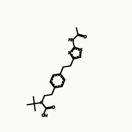 CC(=O)Nc1nc(CCc2ccc(CCN(C(=O)O)C(C)(C)C)cc2)cs1